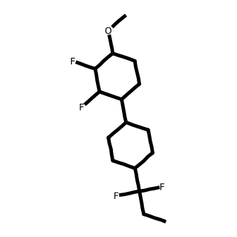 CCC(F)(F)C1CCC(C2CCC(OC)C(F)C2F)CC1